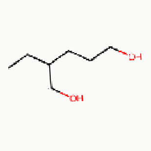 CCC([CH]O)CCCO